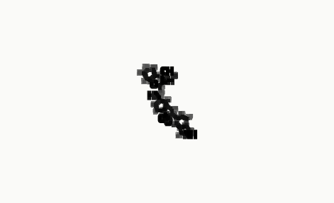 C[C@H](NC(=O)CNc1ccc2c(c1)CC(c1ccc3c(c1)CNC3)S2(=O)=O)c1ccccc1